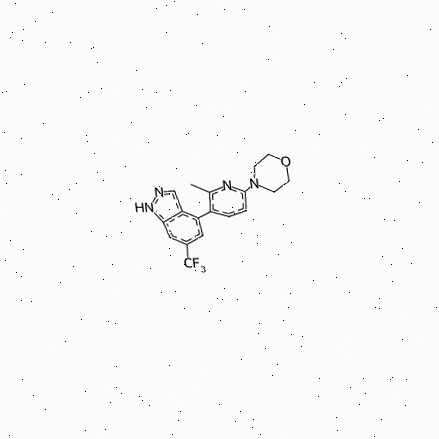 Cc1nc(N2CCOCC2)ccc1-c1cc(C(F)(F)F)cc2[nH]ncc12